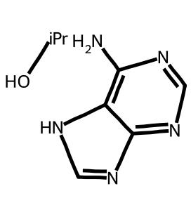 CC(C)O.Nc1ncnc2nc[nH]c12